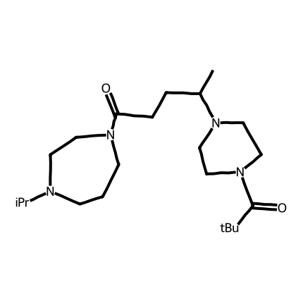 CC(C)N1CCCN(C(=O)CCC(C)N2CCN(C(=O)C(C)(C)C)CC2)CC1